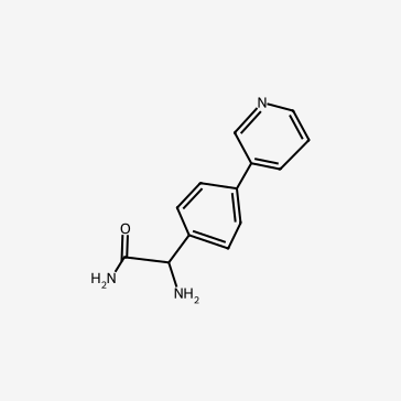 NC(=O)C(N)c1ccc(-c2cccnc2)cc1